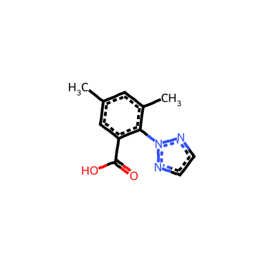 Cc1cc(C)c(-n2nccn2)c(C(=O)O)c1